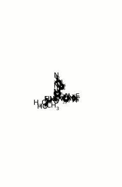 CC(C)(O)C(F)CNC(=O)c1cnc(-c2ccc3cc(C#N)cnn23)cc1Nc1ccc(N2CC(F)(F)C2)nc1